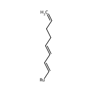 C=CCCC=CC=[CH][Ru]